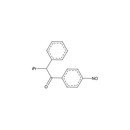 CC(C)C(C(=O)c1ccc(N=O)cc1)c1ccccc1